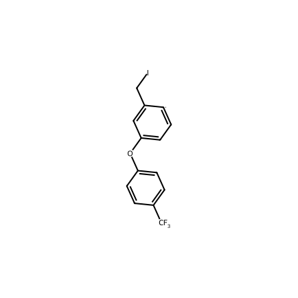 FC(F)(F)c1ccc(Oc2cc[c]c(CI)c2)cc1